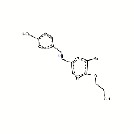 OCCOc1ncc(/C=C/c2ccc(O)cc2)cc1Br